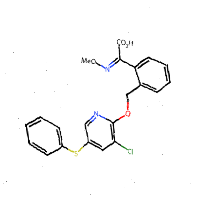 CON=C(C(=O)O)c1ccccc1COc1ncc(Sc2ccccc2)cc1Cl